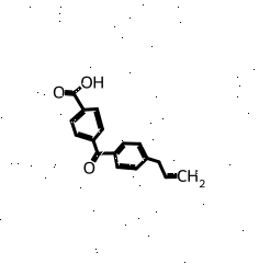 C=CCc1ccc(C(=O)c2ccc(C(=O)O)cc2)cc1